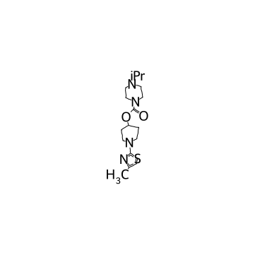 Cc1csc(N2CCC(OC(=O)N3CCN(C(C)C)CC3)CC2)n1